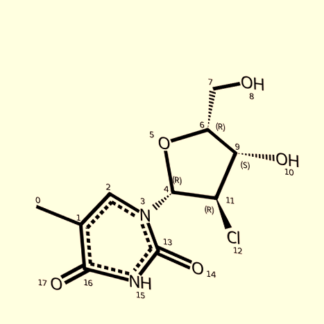 Cc1cn([C@@H]2O[C@H](CO)[C@H](O)[C@H]2Cl)c(=O)[nH]c1=O